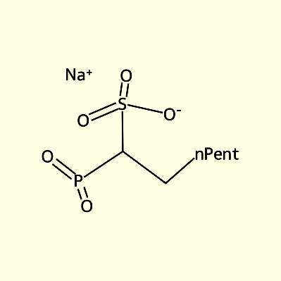 CCCCCCC(P(=O)=O)S(=O)(=O)[O-].[Na+]